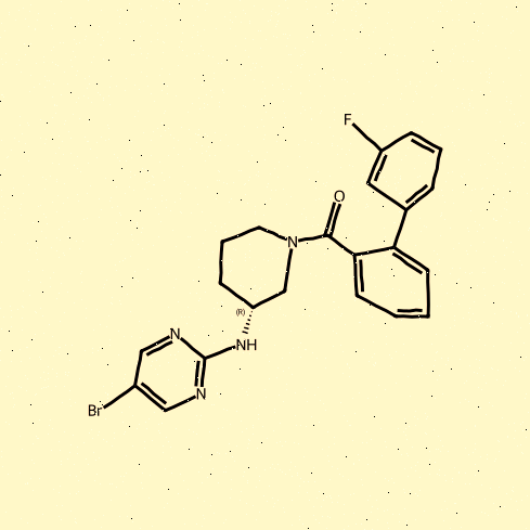 O=C(c1ccccc1-c1cccc(F)c1)N1CCC[C@@H](Nc2ncc(Br)cn2)C1